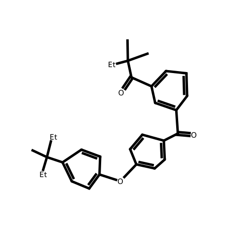 CCC(C)(C)C(=O)c1cccc(C(=O)c2ccc(Oc3ccc(C(C)(CC)CC)cc3)cc2)c1